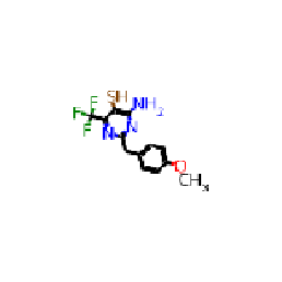 COc1ccc(Cc2nc(N)c(S)c(C(F)(F)F)n2)cc1